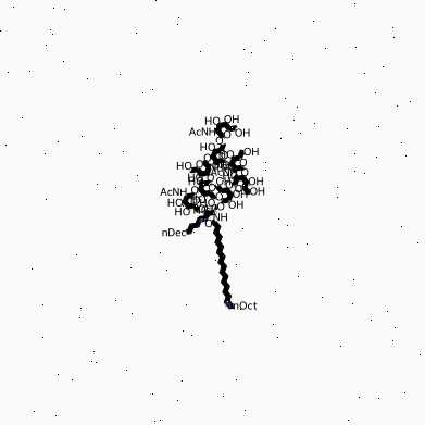 CCCCCCCC/C=C\CCCCCCCCCCCCCCCC(=O)N[C@@H](CO[C@@H]1OC(CO)[C@@H](O[C@@H]2OC(CO)[C@H](O)[C@H](O[C@@H]3OC(CO)[C@@H](O)[C@H](O[C@@H]4OC(CO[C@@H]5OC(CO)[C@@H](O)[C@H](O)C5NC(C)=O)[C@H](O)[C@H](O[C@@H]5OC(CO)[C@@H](O)[C@H](O[C@@H]6OC(CO)[C@H](O)[C@H](O[C@H]7OC(CO)[C@H](O)[C@H](O)C7NC(C)=O)C6O)C5NC(C)=O)C4O)C3NC(C)=O)C2O)[C@H](O)C1O)[C@H](O)/C=C/CCCCCCCCCCCCC